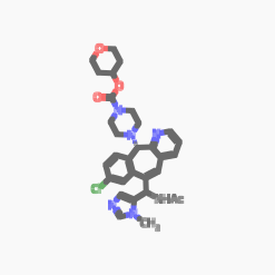 CC(=O)NC(C1=Cc2cccnc2[C@@H](N2CCN(C(=O)OC3CCOCC3)CC2)c2ccc(Cl)cc21)c1cncn1C